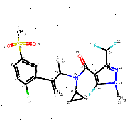 C=C(c1cc(S(C)(=O)=O)ccc1Cl)C(C)N(C(=O)c1c(C(F)F)nn(C)c1F)C1CC1